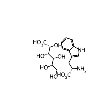 N[C@@H](Cc1c[nH]c2ccccc12)C(=O)O.O=C(O)[C@H](O)[C@@H](O)[C@H](O)[C@H](O)CO